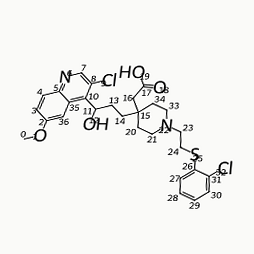 COc1ccc2ncc(Cl)c(C(O)CCC3(CC(=O)O)CCN(CCSc4ccccc4Cl)CC3)c2c1